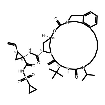 C=C[C@@H]1C[C@]1(NC(=O)[C@@H]1C[C@@H]2CN1C(=C)[C@H](C(C)(C)C)NC(=O)N(C(C)C)CCCCCc1cccc3c1CN(C3)C(=O)O2)C(=O)NS(=O)(=O)C1CC1